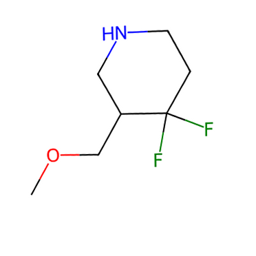 COCC1CNCCC1(F)F